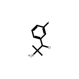 CC(C)(N)C(Cl)c1cccc(I)c1